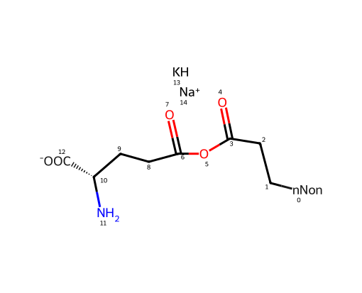 CCCCCCCCCCCC(=O)OC(=O)CC[C@H](N)C(=O)[O-].[KH].[Na+]